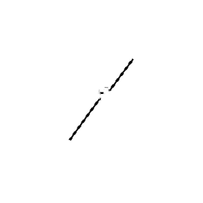 C#CC#CC#CC#CC#CC#CC#CC(=O)O[C@@H](CO)COC(=O)C#CC#CC#CC#CC#CC